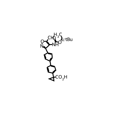 Cc1onc(-c2ccc(-c3ccc(C4(C(=O)O)CC4)cc3)cc2)c1NC(=O)O[C@H](C)C(C)(C)C